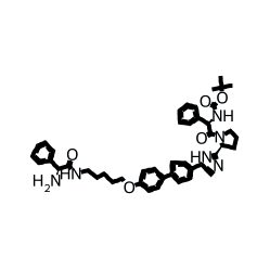 CC(C)(C)OC(=O)N[C@@H](C(=O)N1CCC[C@H]1c1ncc(-c2ccc(-c3ccc(OCCCCCNC(=O)[C@H](N)c4ccccc4)cc3)cc2)[nH]1)c1ccccc1